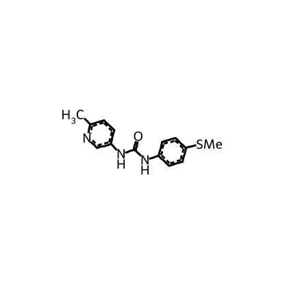 CSc1ccc(NC(=O)Nc2ccc(C)nc2)cc1